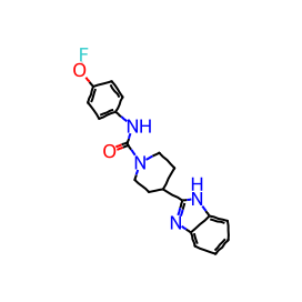 O=C(Nc1ccc(OF)cc1)N1CCC(c2nc3ccccc3[nH]2)CC1